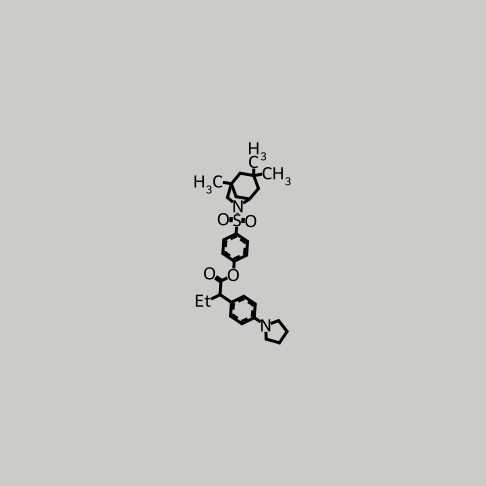 CCC(C(=O)Oc1ccc(S(=O)(=O)N2CC3(C)CC2CC(C)(C)C3)cc1)c1ccc(N2CCCC2)cc1